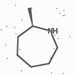 [CH2][C@@H]1CCCCCN1